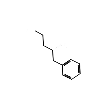 N[C@@H](CCS(=O)(=O)O)Cc1ccccc1